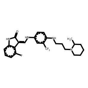 CC1CCCCN1CCCNc1ccc(N/C=C2\C(=O)Nc3cccc(F)c32)cc1C(F)(F)F